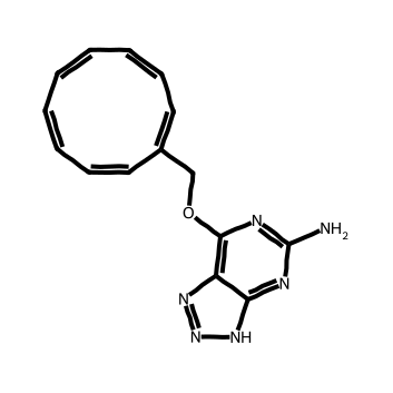 Nc1nc(OCc2ccccccccc2)c2nn[nH]c2n1